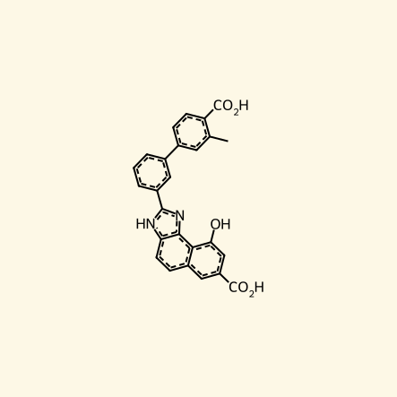 Cc1cc(-c2cccc(-c3nc4c(ccc5cc(C(=O)O)cc(O)c54)[nH]3)c2)ccc1C(=O)O